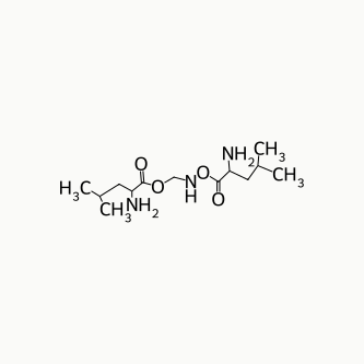 CC(C)CC(N)C(=O)OCNOC(=O)C(N)CC(C)C